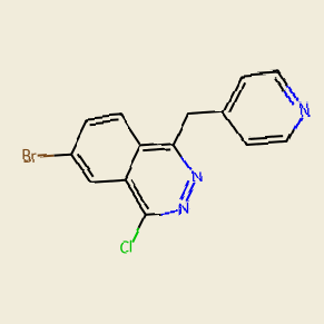 Clc1nnc(Cc2ccncc2)c2ccc(Br)cc12